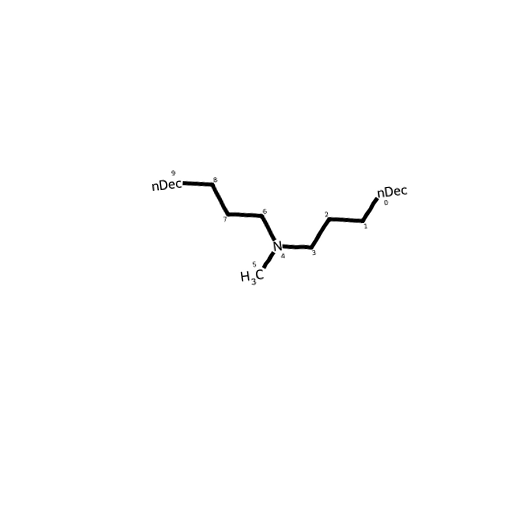 CCCCCCCCCCCCCN(C)CCCCCCCCCCCCC